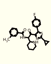 Cc1cccc(C(=O)NC(C(=O)c2nc(C3CC3)sc2-c2ccc(F)cc2)C2CCCCN2)c1